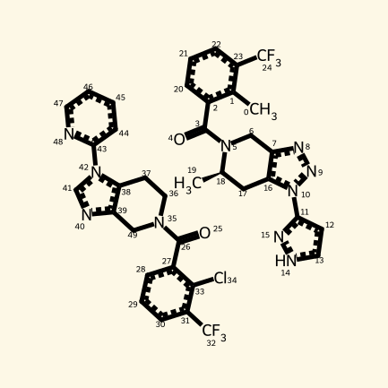 Cc1c(C(=O)N2Cc3nnn(-c4cc[nH]n4)c3C[C@H]2C)cccc1C(F)(F)F.O=C(c1cccc(C(F)(F)F)c1Cl)N1CCc2c(ncn2-c2ccccn2)C1